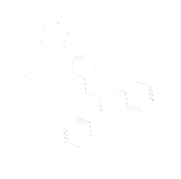 CCCCn1c(CN(Cc2ccccc2)Cc2ccc(I)cc2)cnc1-c1ccccc1